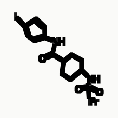 CC(C)S(=O)(=O)NC1CCC(C(=O)Nc2ccc(I)cc2)CC1